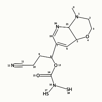 CN1CCOC2C=C(C(CCC#N)OC(=O)N(S)S)C=NC21